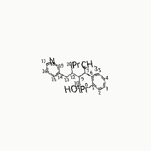 CC(C)c1ccccc1C(C)C(CO)C(Cc1cccnc1)C(C)C